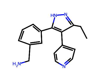 CCc1n[nH]c(-c2cccc(CN)c2)c1-c1ccncc1